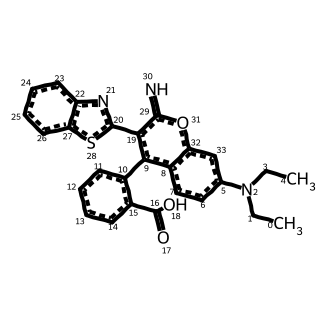 CCN(CC)c1ccc2c(-c3ccccc3C(=O)O)c(-c3nc4ccccc4s3)c(=N)oc2c1